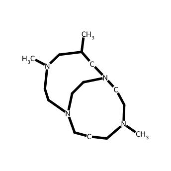 CC1CN(C)CCN2CCCN(C)CCN(CC2)C1